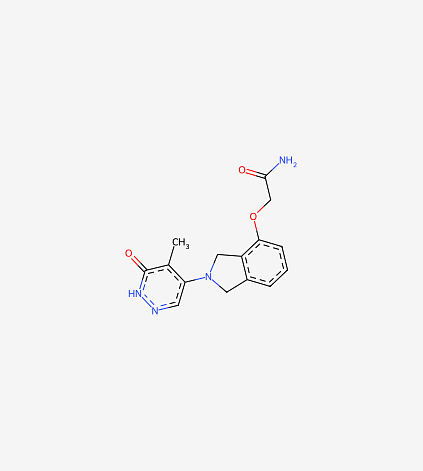 Cc1c(N2Cc3cccc(OCC(N)=O)c3C2)cn[nH]c1=O